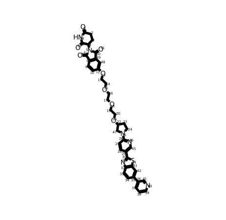 O=C1CCC(N2C(=O)c3ccc(OCCOCCOCCOC4CCN(c5ccc(-c6nc7ccc(-c8cccnc8)cc7s6)cn5)C4)cc3C2=O)C(=O)N1